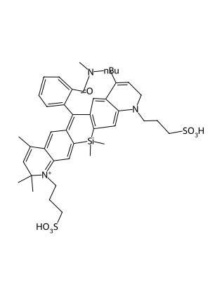 CCCCN(C)C(=O)c1ccccc1C1=c2cc3c(cc2[Si](C)(C)c2cc4c(cc21)C(C)=CCN4CCCS(=O)(=O)O)=[N+](CCCS(=O)(=O)O)C(C)(C)C=C3C